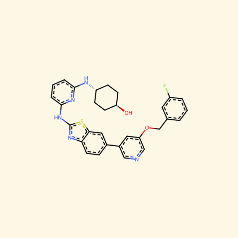 O[C@H]1CC[C@H](Nc2cccc(Nc3nc4ccc(-c5cncc(OCc6cccc(F)c6)c5)cc4s3)n2)CC1